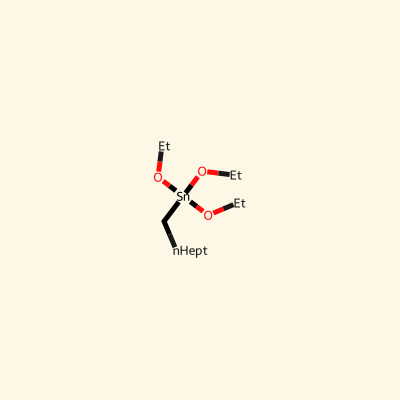 CCCCCCC[CH2][Sn]([O]CC)([O]CC)[O]CC